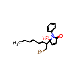 CCCCCCC(CBr)C1(O)C=CC(=O)N1c1ccccc1